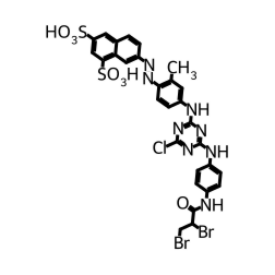 Cc1cc(Nc2nc(Cl)nc(Nc3ccc(NC(=O)C(Br)CBr)cc3)n2)ccc1N=Nc1ccc2cc(S(=O)(=O)O)cc(S(=O)(=O)O)c2c1